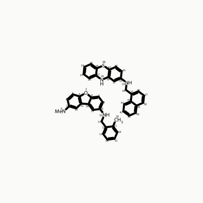 CNc1ccc2oc3ccc(NCc4ccccc4C)cc3c2c1.c1ccc2c(c1)Nc1cc(NCc3cccc4ccccc34)ccc1S2